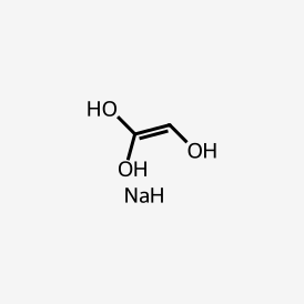 OC=C(O)O.[NaH]